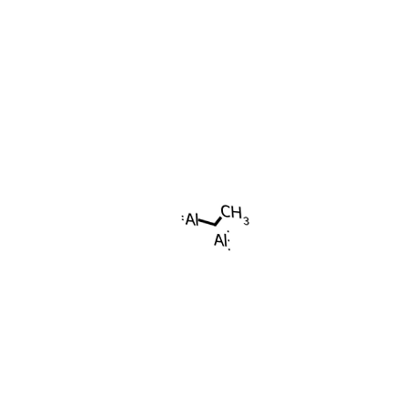 C[CH2][Al].[Al]